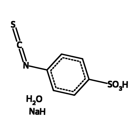 O.O=S(=O)(O)c1ccc(N=C=S)cc1.[NaH]